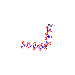 O=[N+]([O-])[O-].O=[N+]([O-])[O-].O=[N+]([O-])[O-].O=[N+]([O-])[O-].O=[N+]([O-])[O-].O=[N+]([O-])[O-].O=[N+]([O-])[O-].[C+4].[Eu+3]